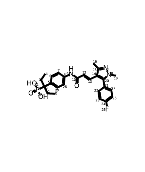 CCC(CC)(c1ccc(NC(=O)C=Cc2c(C)nn(C)c2-c2ccc(F)cc2)cc1)P(=O)(O)O